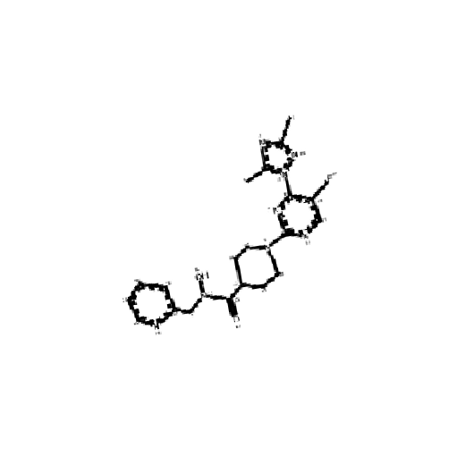 Cc1nc(C)n(-c2nc(N3CCC(C(=O)N(O)Cc4ccccn4)CC3)ncc2F)n1